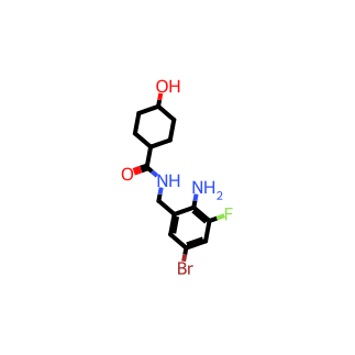 Nc1c(F)cc(Br)cc1CNC(=O)C1CCC(O)CC1